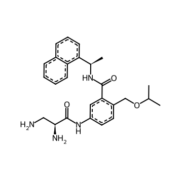 CC(C)OCc1ccc(NC(=O)[C@@H](N)CN)cc1C(=O)N[C@H](C)c1cccc2ccccc12